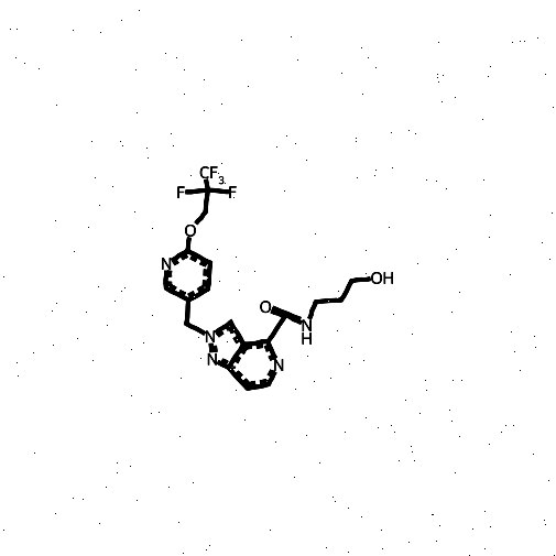 O=C(NCCCO)c1nccc2nn(Cc3ccc(OCC(F)(F)C(F)(F)F)nc3)cc12